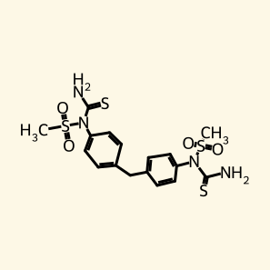 CS(=O)(=O)N(C(N)=S)c1ccc(Cc2ccc(N(C(N)=S)S(C)(=O)=O)cc2)cc1